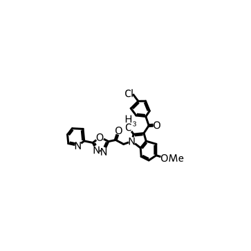 COc1ccc2c(c1)c(C(=O)c1ccc(Cl)cc1)c(C)n2CC(=O)c1nnc(-c2ccccn2)o1